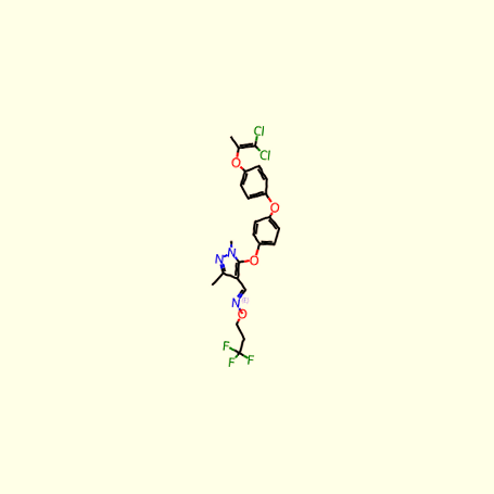 CC(Oc1ccc(Oc2ccc(Oc3c(/C=N/OCCC(F)(F)F)c(C)nn3C)cc2)cc1)=C(Cl)Cl